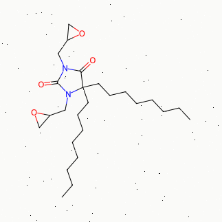 CCCCCCCCC1(CCCCCCCC)C(=O)N(CC2CO2)C(=O)N1CC1CO1